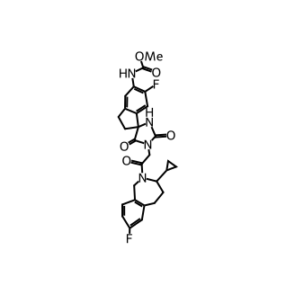 COC(=O)Nc1cc2c(cc1F)C1(CC2)NC(=O)N(CC(=O)N2Cc3ccc(F)cc3CCC2C2CC2)C1=O